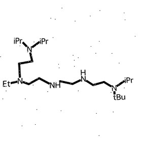 CCN(CCNCCNCCN(C(C)C)C(C)(C)C)CCN(C(C)C)C(C)C